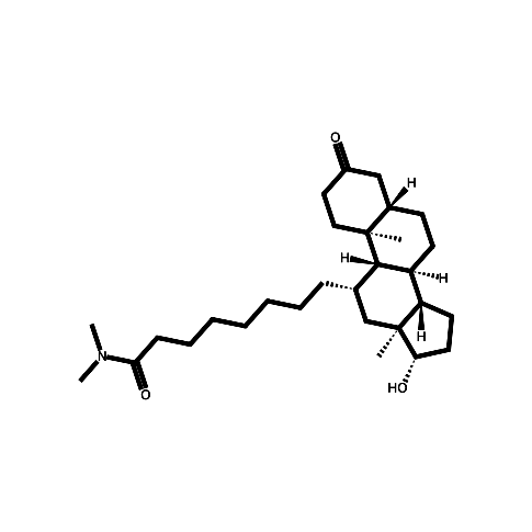 CN(C)C(=O)CCCCCCC[C@H]1C[C@]2(C)[C@@H](O)CC[C@H]2[C@@H]2CC[C@H]3CC(=O)CC[C@]3(C)[C@@H]12